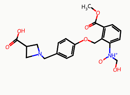 COC(=O)c1cccc([NH+]([O-])CO)c1COc1ccc(CN2CC(C(=O)O)C2)cc1